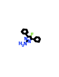 Nc1nc(-c2ccccc2)c(F)c(-c2ccccc2)n1